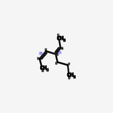 C/C=C\C(=C/C)CCC